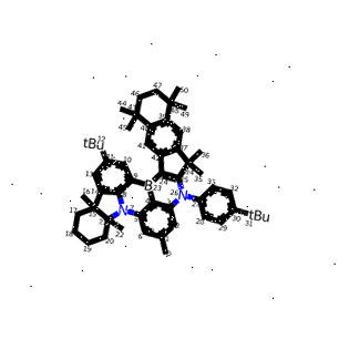 Cc1cc2c3c(c1)N1c4c(cc(C(C)(C)C)cc4C4(C)CCCCC14C)B3C1=C(N2c2ccc(C(C)(C)C)cc2)C(C)(C)c2cc3c(cc21)C(C)(C)CCC3(C)C